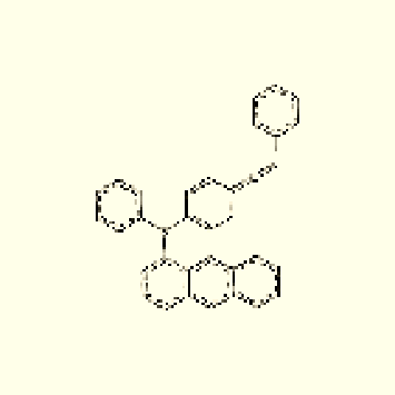 C(=Cc1ccccc1)=C1C=CC(N(c2ccccc2)c2cccc3cc4ccccc4cc23)=CC1